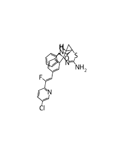 NC1=N[C@@]2(Cc3ccc(/C=C(\F)c4ccc(Cl)cn4)cc32)[C@@H]2C[C@]2(C(=O)Nc2ccccc2)S1